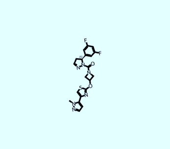 Cn1nccc1-c1csc(OC2CN(C(=O)N3N=CC[C@H]3c3cc(F)cc(F)c3)C2)n1